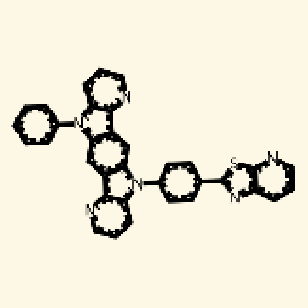 c1ccc(-n2c3cc4c5ncccc5n(-c5ccc(-c6nc7cccnc7s6)cc5)c4cc3c3ncccc32)cc1